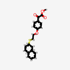 COC(=O)C(=O)c1ccc(OCCSc2ccc3ccccc3c2)cc1